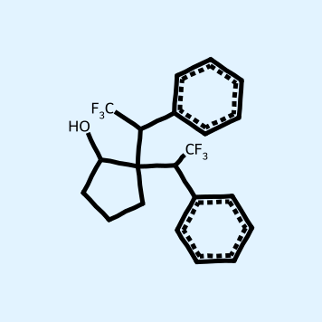 OC1CCCC1(C(c1ccccc1)C(F)(F)F)C(c1ccccc1)C(F)(F)F